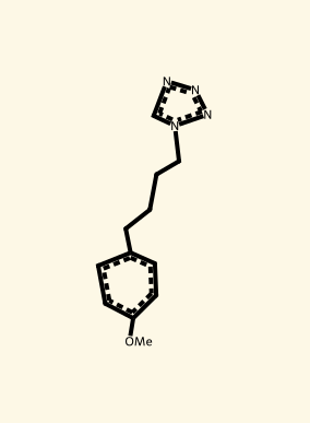 COc1ccc(CCCCn2cnnn2)cc1